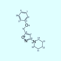 c1ccc(OCc2cc(N3CCCCC3)no2)cc1